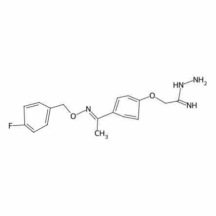 C/C(=N\OCc1ccc(F)cc1)c1ccc(OCC(=N)NN)cc1